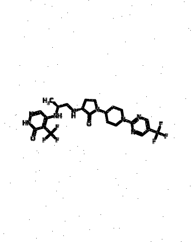 C[C@@H](CN[C@H]1CCN(C2CCN(c3ncc(C(F)(F)F)cn3)CC2)C1=O)Nc1cn[nH]c(=O)c1C(F)(F)F